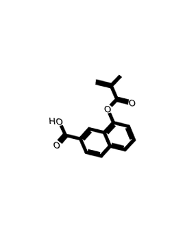 C=C(C)C(=O)Oc1cccc2ccc(C(=O)O)cc12